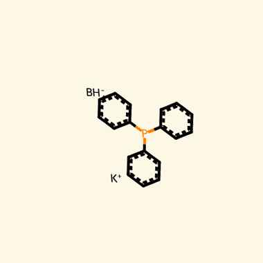 [BH4-].[K+].c1ccc(P(c2ccccc2)c2ccccc2)cc1